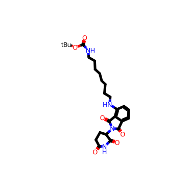 CC(C)(C)OC(=O)NCCCCCCCCNc1cccc2c1C(=O)N(C1CCC(=O)NC1=O)C2=O